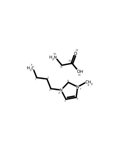 CCCCN1C=CN(C)C1.NCC(=O)O